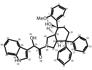 COc1ccccc1[C@]1(O)CCC(c2ccccc2)(c2ccccc2)[C@H]2CN(C(=O)C(O)c3c[nH]c4ccccc34)C[C@H]21